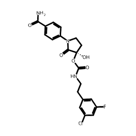 NC(=O)c1ccc(N2CC[C@@](O)(OC(=O)NCCc3cc(F)cc(Cl)c3)C2=O)cc1